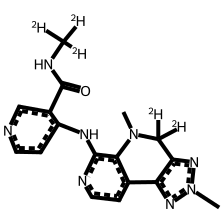 [2H]C([2H])([2H])NC(=O)c1cnccc1Nc1nccc2c1N(C)C([2H])([2H])c1nn(C)nc1-2